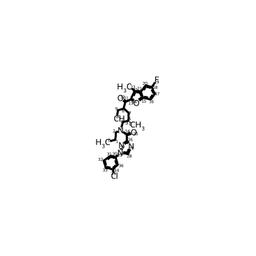 CCCN(C[C@@H](C)CC(CC)C(=O)c1oc2ccc(F)cc2c1C)C(=O)c1ncn(-c2cccc(Cl)c2)n1